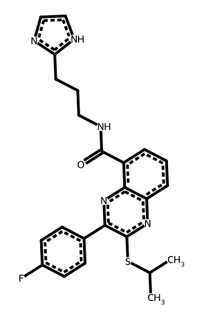 CC(C)Sc1nc2cccc(C(=O)NCCCc3ncc[nH]3)c2nc1-c1ccc(F)cc1